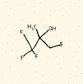 CC(O)(CF)C(F)(F)F